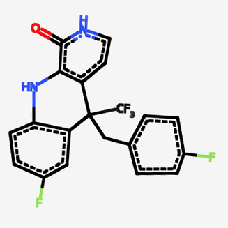 O=c1[nH]ccc2c1Nc1ccc(F)cc1C2(Cc1ccc(F)cc1)C(F)(F)F